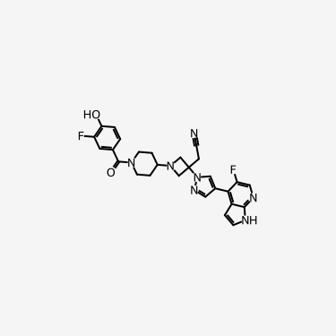 N#CCC1(n2cc(-c3c(F)cnc4[nH]ccc34)cn2)CN(C2CCN(C(=O)c3ccc(O)c(F)c3)CC2)C1